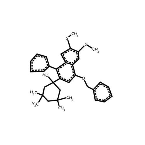 CSc1cc2c(OCc3ccccc3)cc(C3(O)CC(C)(C)CC(C)(C)C3)c(-c3ccccc3)c2cc1SC